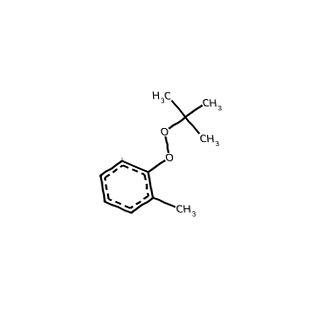 Cc1ccc[c]c1OOC(C)(C)C